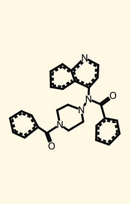 O=C(c1ccccc1)N1CCN(N(C(=O)c2ccccc2)c2ccnc3ccccc23)CC1